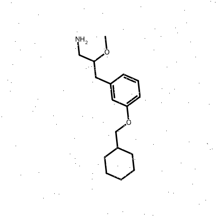 COC(CN)Cc1cccc(OCC2CCCCC2)c1